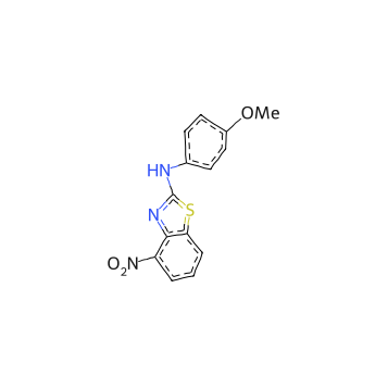 COc1ccc(Nc2nc3c([N+](=O)[O-])cccc3s2)cc1